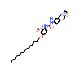 CCCCCCCCCCCCCCOc1ccc(NC(=O)Nc2cccc(C[n+]3ccsc3C)c2)cc1.[Br-]